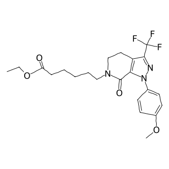 CCOC(=O)CCCCCN1CCc2c(C(F)(F)F)nn(-c3ccc(OC)cc3)c2C1=O